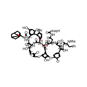 CCCCCCCC(=O)NC(=O)C[C@@H]1NC(=O)[C@H](NC(=O)[C@@H](CC(C)C)NC)[C@H](O)c2ccc(c(Cl)c2)Oc2cc3cc(c2O)Oc2ccc(cc2Cl)[C@@H](O)[C@@H]2NC(=O)[C@H](NC(=O)[C@@H]3NC1=O)c1ccc(O)c(c1)-c1c(O)cc(O)cc1[C@@H](C(=O)NC1C3CC4CC(C3)CC1C4)NC2=O